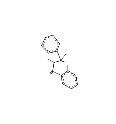 CC1C(=O)c2ccccc2OC1(C)c1ccccc1